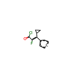 O=C(Cl)C(F)=C(c1ccccc1)C1CC1